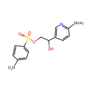 CC(=O)Nc1ccc(C(O)COS(=O)(=O)c2ccc([N+](=O)[O-])cc2)cn1